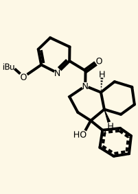 CCC(C)OC1=CCCC(C(=O)N2CCC(O)(c3ccccc3)[C@H]3CCCC[C@@H]32)=N1